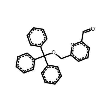 O=Cc1cccc(COC(c2ccccc2)(c2ccccc2)c2ccccc2)n1